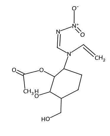 C=CN(/C=N\[N+](=O)[O-])C1CCC(CO)C(O)C1OC(C)=O